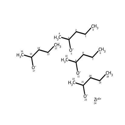 CCCC(C)[O-].CCCC(C)[O-].CCCC(C)[O-].CCCC(C)[O-].[Zr+4]